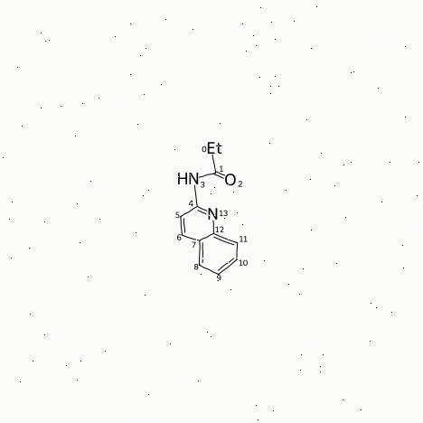 CCC(=O)Nc1ccc2ccccc2n1